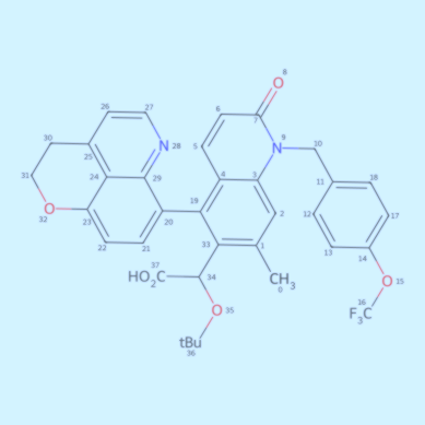 Cc1cc2c(ccc(=O)n2Cc2ccc(OC(F)(F)F)cc2)c(-c2ccc3c4c(ccnc24)CCO3)c1C(OC(C)(C)C)C(=O)O